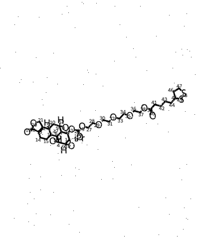 CC(C)[C@]12O[C@H]1[C@@H]1O[C@]13[C@]1(O[C@H]1C[C@H]1C4=C(CC[C@@]13C)C(=O)OC4)[C@@H]2OC(=O)OCCOCCOCCOCCOC(=O)CCCCC1CCSS1